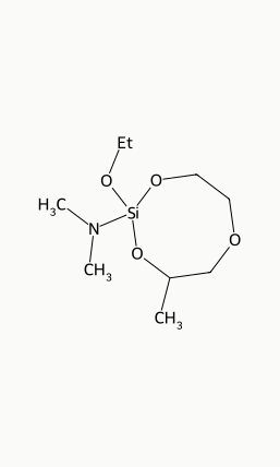 CCO[Si]1(N(C)C)OCCOCC(C)O1